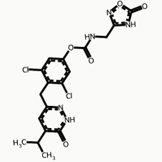 CC(C)c1cc(Cc2c(Cl)cc(OC(=O)NCc3noc(=O)[nH]3)cc2Cl)n[nH]c1=O